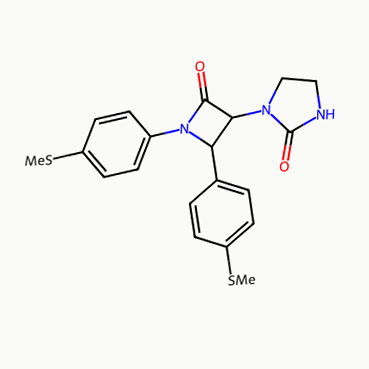 CSc1ccc(C2C(N3CCNC3=O)C(=O)N2c2ccc(SC)cc2)cc1